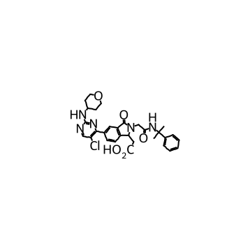 CC(C)(NC(=O)CN1C(=O)c2cc(-c3nc(NC4CCOCC4)ncc3Cl)ccc2C1CC(=O)O)c1ccccc1